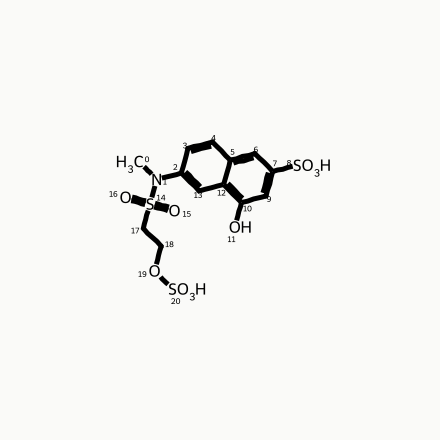 CN(c1ccc2cc(S(=O)(=O)O)cc(O)c2c1)S(=O)(=O)CCOS(=O)(=O)O